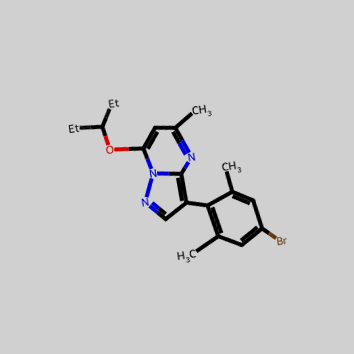 CCC(CC)Oc1cc(C)nc2c(-c3c(C)cc(Br)cc3C)cnn12